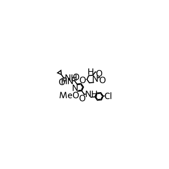 COc1nc(C(=O)NNC(=O)C2CC2)c(O[C@H]2CCN3C(=O)OC[C@@H]3C2)cc1C(=O)NCc1ccc(Cl)cc1